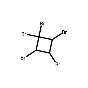 BrC1C(Br)C(Br)(Br)C1Br